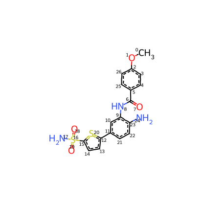 COc1ccc(C(=O)Nc2cc(-c3ccc(S(N)(=O)=O)s3)ccc2N)cc1